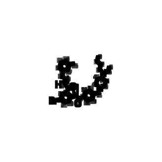 CCCCN(CC)C1CCN(Cc2ccc(C(=O)Nc3ccc(Br)cc3C(=O)N/N=C/c3cccc(C)c3)cc2)CC1